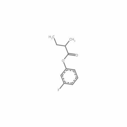 CCC(C)C(=O)Oc1cccc(F)c1